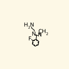 C=N/C(=N\CCN)c1ccccc1F